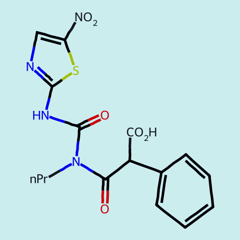 CCCN(C(=O)Nc1ncc([N+](=O)[O-])s1)C(=O)C(C(=O)O)c1ccccc1